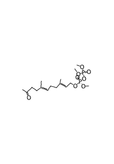 COP(=O)(OC)OP(=O)(OC)OC/C=C(\C)CC/C=C(\C)CCC(C)=O